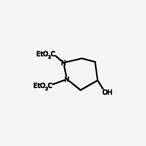 CCOC(=O)N1CCC(O)CN1C(=O)OCC